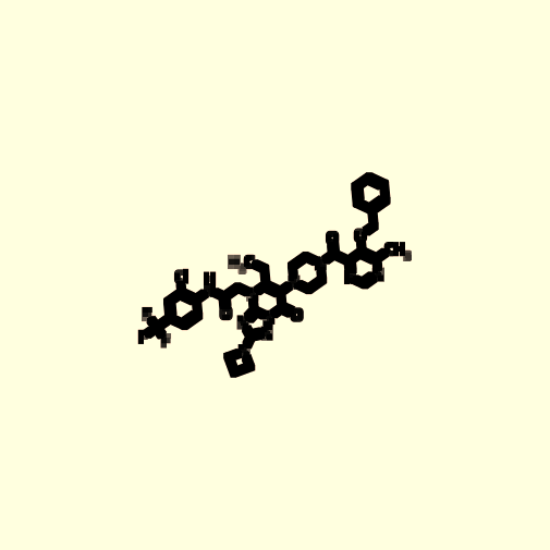 CCc1c(N2CCN(C(=O)c3ncnc(C)c3OCc3ccccc3)CC2)c(=O)n2nc(N3CCC3)nc2n1CC(=O)Nc1ccc(C(F)(F)F)cc1Cl